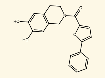 O=C(c1ccc(-c2ccccc2)o1)N1CCc2cc(O)c(O)cc2C1